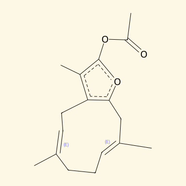 CC(=O)Oc1oc2c(c1C)C/C=C(\C)CC/C=C(\C)C2